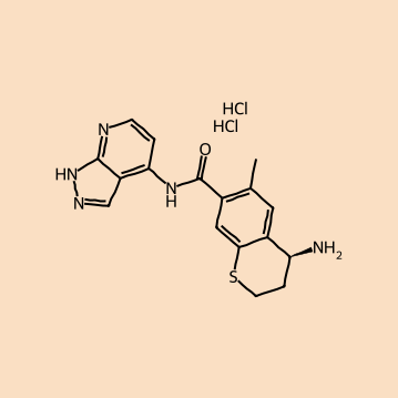 Cc1cc2c(cc1C(=O)Nc1ccnc3[nH]ncc13)SCC[C@@H]2N.Cl.Cl